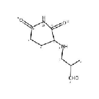 CC(C=O)CNC1CCC(=O)NC1=O